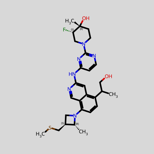 CSC[C@H]1CN(c2ccc(C(C)CO)c3cc(Nc4ccnc(N5CC[C@@](C)(O)[C@@H](F)C5)n4)ncc23)[C@@H]1C